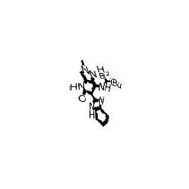 BC(Nc1c(-c2nc3ccccc3[nH]2)c(=O)[nH]c2cn(C)nc12)C(C)CC